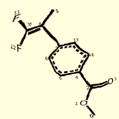 COC(=O)c1ccc(C(C)=C(F)F)cc1